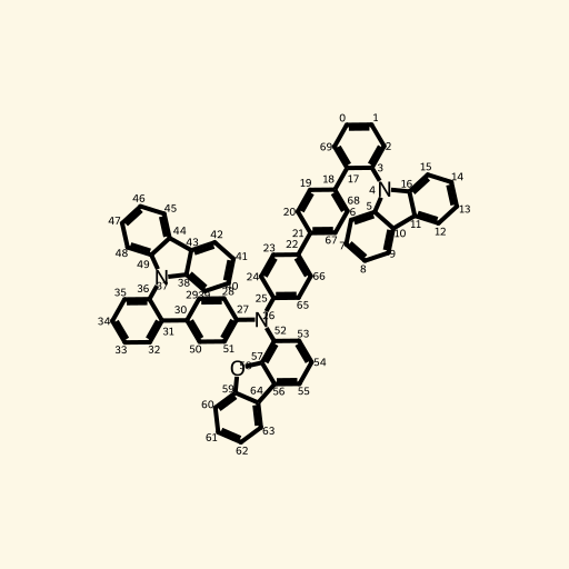 c1ccc(-n2c3ccccc3c3ccccc32)c(-c2ccc(-c3ccc(N(c4ccc(-c5ccccc5-n5c6ccccc6c6ccccc65)cc4)c4cccc5c4oc4ccccc45)cc3)cc2)c1